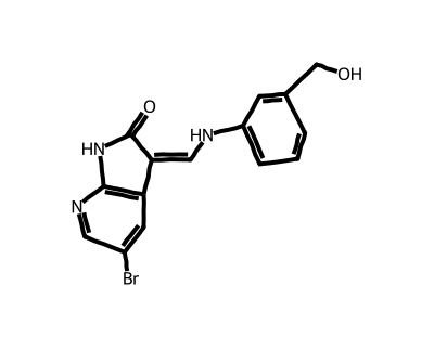 O=C1Nc2ncc(Br)cc2C1=CNc1cccc(CO)c1